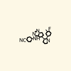 Cc1cc(-c2ncccc2-c2ccc3ncnc(Nc4ccc(C#N)cc4)c3c2)ccc1F